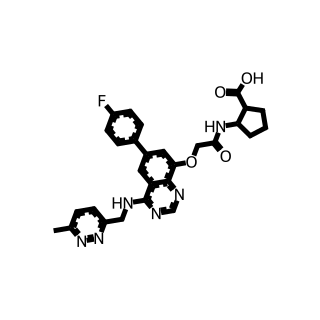 Cc1ccc(CNc2ncnc3c(OCC(=O)NC4CCCC4C(=O)O)cc(-c4ccc(F)cc4)cc23)nn1